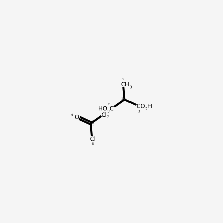 CC(C(=O)O)C(=O)O.O=C(Cl)Cl